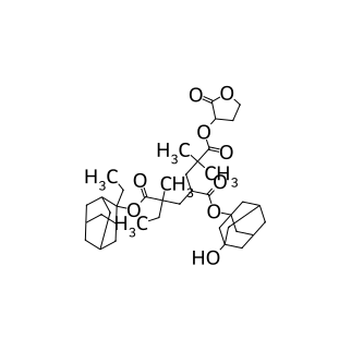 CCC(C)(CC(CC(C)(C)C(=O)OC1CCOC1=O)C(=O)OC12CC3CC(CC(O)(C3)C1)C2)C(=O)OC1(CC)C2CC3CC(C2)CC1C3